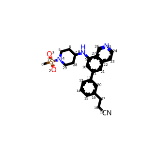 CS(=O)(=O)N1CCC(Nc2cc(-c3cccc(CCC#N)c3)cc3ccncc23)CC1